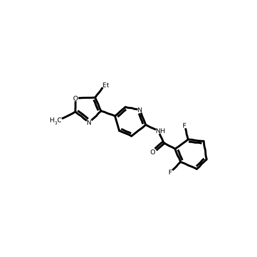 CCc1oc(C)nc1-c1ccc(NC(=O)c2c(F)cccc2F)nc1